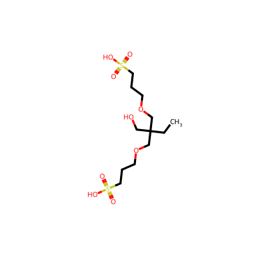 CCC(CO)(COCCCS(=O)(=O)O)COCCCS(=O)(=O)O